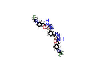 CC1(F)CN(c2cccc(CC(=O)Nc3nnc([C@H]4CCC[C@H](c5nnc(NC(=O)Cc6cccc(N7CC(F)(F)C7)c6)s5)C4)s3)c2)C1